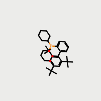 CC(C)(C)c1cc(C(C)(C)C)c(-c2ccccc2P(C2CCCCC2)C2CCCCC2)c(C(C)(C)C)c1